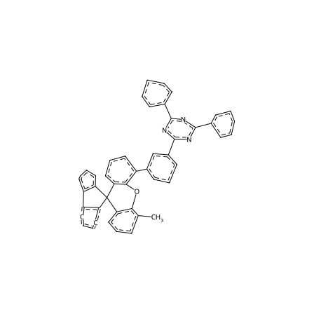 Cc1cccc2c1Oc1c(-c3cccc(-c4nc(-c5ccccc5)nc(-c5ccccc5)n4)c3)cccc1C21c2ccccc2-c2ccccc21